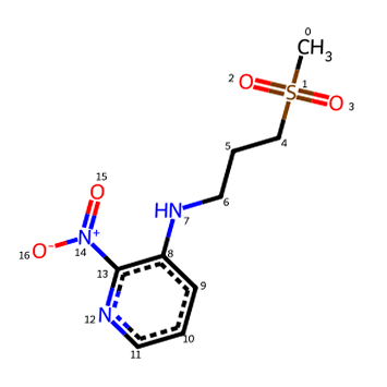 CS(=O)(=O)CCCNc1cccnc1[N+](=O)[O-]